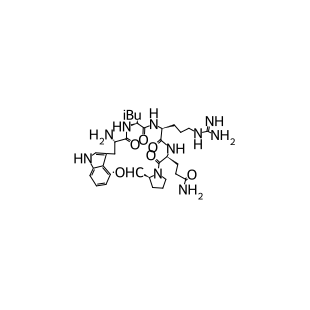 CC[C@H](C)[C@H](NC(=O)[C@@H](N)Cc1c[nH]c2ccccc12)C(=O)N[C@@H](CCCNC(=N)N)C(=O)N[C@@H](CCC(N)=O)C(=O)N1CCC[C@H]1[C]=O